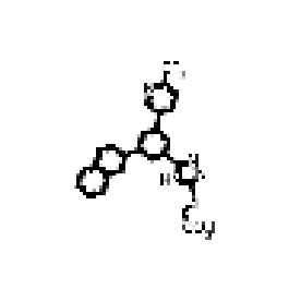 O=C(O)CSc1nnc(-c2cc(-c3ccc(C(F)(F)F)nc3)cc(-c3ccc4ccccc4c3)c2)[nH]1